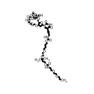 CCCOCCOCCNC(=O)OCCC(C)(C)SSCOCCCCOC(=O)NCC#Cc1cn([C@H]2C[C@H](OCN=[N+]=[N-])[C@@H](COP(=O)(O)OP(=O)(O)OP(=O)(O)O)O2)c(=O)[nH]c1=O